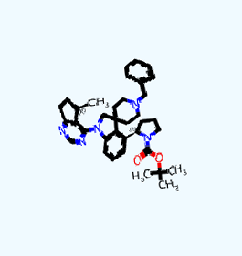 C[C@@H]1CCc2ncnc(N3CC4(CCN(Cc5ccccc5)CC4)c4c([C@H]5CCCN5C(=O)OC(C)(C)C)cccc43)c21